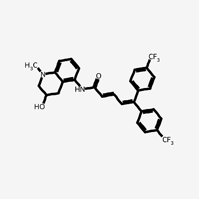 CN1CC(O)Cc2c(NC(=O)C=CC=C(c3ccc(C(F)(F)F)cc3)c3ccc(C(F)(F)F)cc3)cccc21